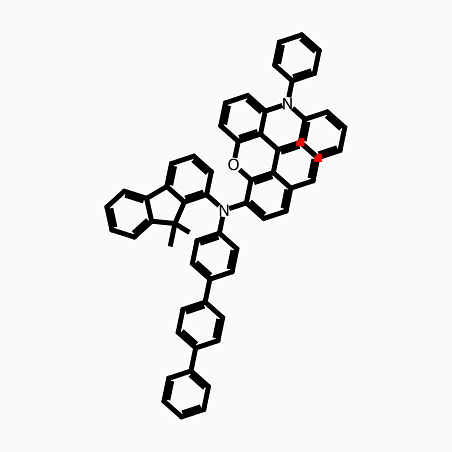 CC1(C)c2ccccc2-c2cccc(N(c3ccc(-c4ccc(-c5ccccc5)cc4)cc3)c3ccc4cccc5c4c3Oc3cccc(N(c4ccccc4)c4ccccc4)c3-5)c21